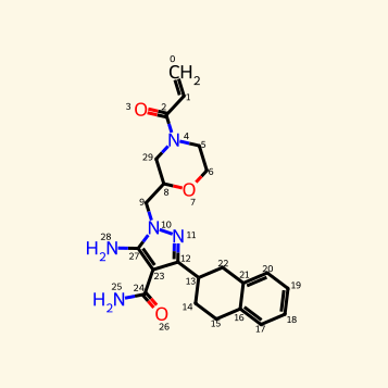 C=CC(=O)N1CCOC(Cn2nc(C3CCc4ccccc4C3)c(C(N)=O)c2N)C1